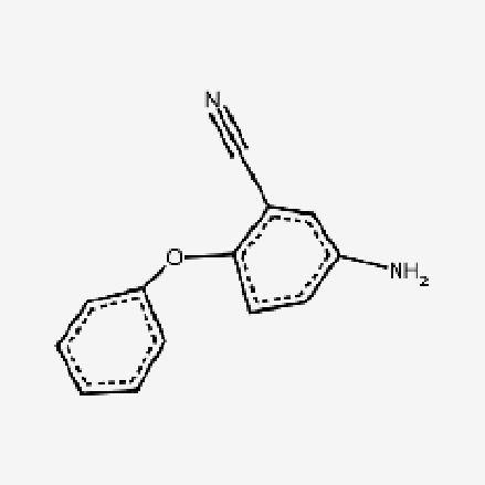 N#Cc1cc(N)ccc1Oc1ccccc1